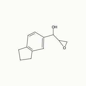 OC(c1ccc2c(c1)CCC2)C1CO1